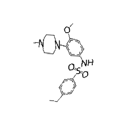 CCc1ccc(S(=O)(=O)Nc2ccc(OC)c(N3CCN(C)CC3)c2)cc1